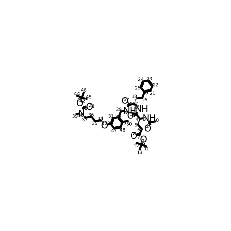 CC(=O)N[C@@H](CCC(=O)OC(C)(C)C)C(=O)N[C@@H](CCc1ccccc1)C(=O)NCc1cc(OCCCCN(C)C(=O)OC(C)(C)C)ccc1C